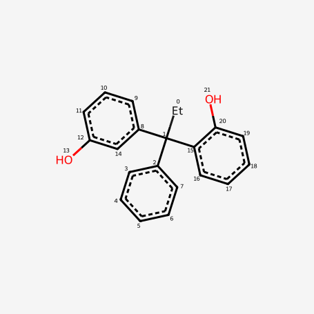 CCC(c1ccccc1)(c1cccc(O)c1)c1ccccc1O